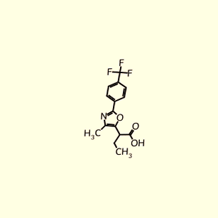 CCC(C(=O)O)c1oc(-c2ccc(C(F)(F)F)cc2)nc1C